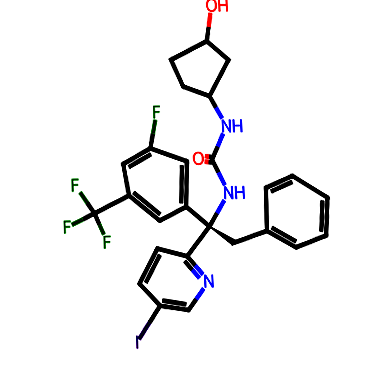 O=C(NC1CCC(O)C1)N[C@@](Cc1ccccc1)(c1cc(F)cc(C(F)(F)F)c1)c1ccc(I)cn1